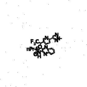 CCCS(=O)(=O)Nc1nc2ccccc2nc1OC(c1ccc(-c2cnn(C)n2)nc1)C(F)(F)F